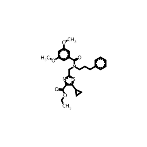 CCOC(=O)c1nc(CN(CCCc2ccccc2)C(=O)c2cc(OC)cc(OC)c2)sc1C1CC1